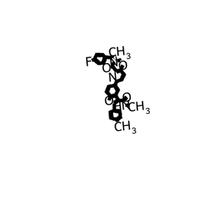 CNC(=O)c1c(-c2ccc(C)cc2)oc2ccc(-c3ccc4c(n3)C(=O)N([C@H](C)c3ccc(F)cc3)CO4)cc12